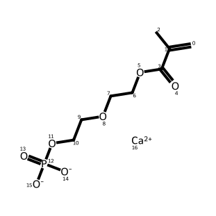 C=C(C)C(=O)OCCOCCOP(=O)([O-])[O-].[Ca+2]